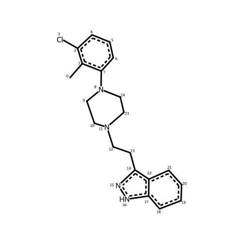 Cc1c(Cl)cccc1N1CCN(CCc2n[nH]c3ccccc23)CC1